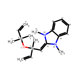 C=C[Si](C)(C)O[Si](C)(C=C)C=C1N(C)c2ccccc2N1C